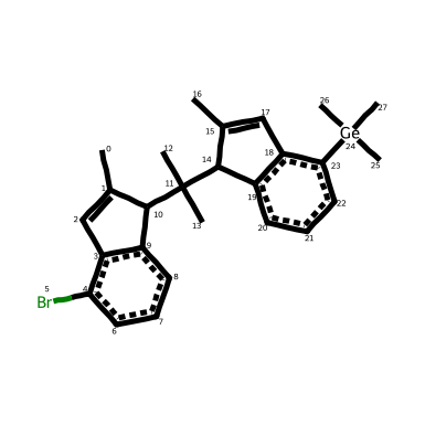 CC1=Cc2c(Br)cccc2C1C(C)(C)C1C(C)=Cc2c1ccc[c]2[Ge]([CH3])([CH3])[CH3]